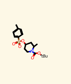 Cc1ccc(S(=O)(=O)OC2CCN(C(=O)OC(C)(C)C)C(C)C2)cc1